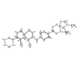 CC1OCC2(CCN(c3cnc(Sc4ccc5ncn(C6CCCCC6)c(=O)c5c4Cl)cn3)CC2)C1N